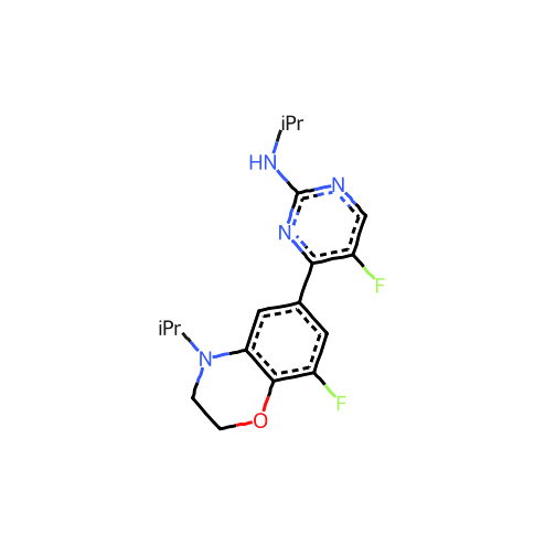 CC(C)Nc1ncc(F)c(-c2cc(F)c3c(c2)N(C(C)C)CCO3)n1